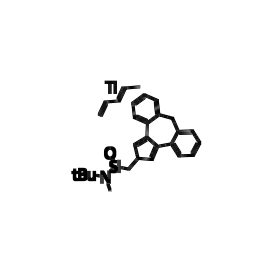 C=CC=CC.CN([Si](=O)CC1C=C2C(=C1)c1ccccc1Cc1ccccc12)C(C)(C)C.[Ti]